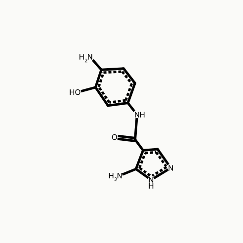 Nc1ccc(NC(=O)c2cn[nH]c2N)cc1O